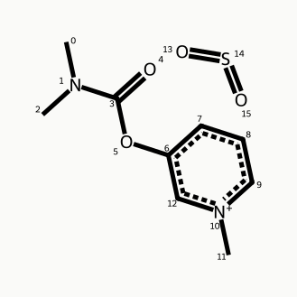 CN(C)C(=O)Oc1ccc[n+](C)c1.O=S=O